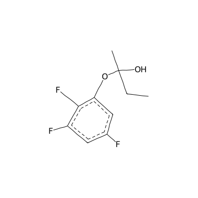 CCC(C)(O)Oc1cc(F)cc(F)c1F